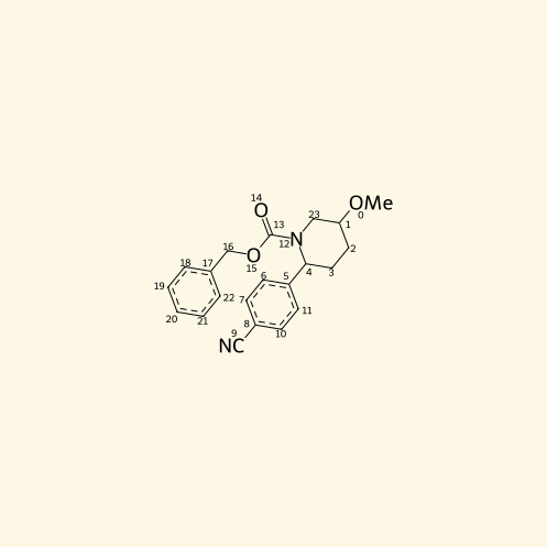 COC1CCC(c2ccc(C#N)cc2)N(C(=O)OCc2ccccc2)C1